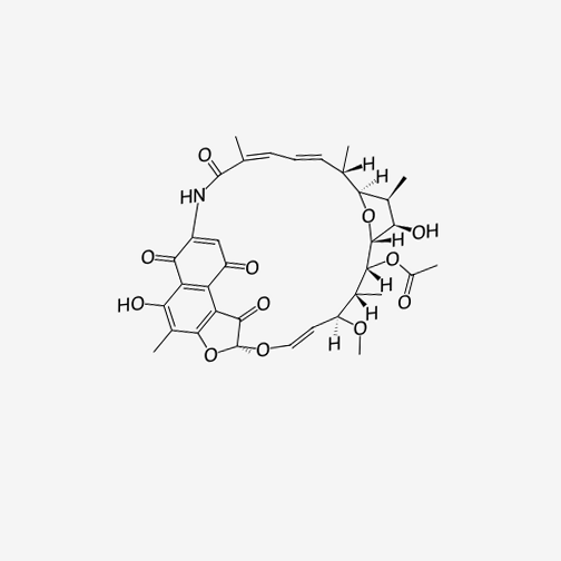 CO[C@H]1/C=C/O[C@@]2(C)Oc3c(C)c(O)c4c(c3C2=O)C(=O)C=C(NC(=O)/C(C)=C\C=C\[C@H](C)[C@@H]2O[C@H]([C@H](O)[C@@H]2C)[C@H](OC(C)=O)[C@@H]1C)C4=O